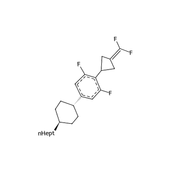 CCCCCCC[C@H]1CC[C@H](c2cc(F)c(C3CC(=C(F)F)C3)c(F)c2)CC1